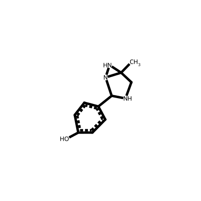 CC12CNC(c3ccc(O)cc3)N1N2